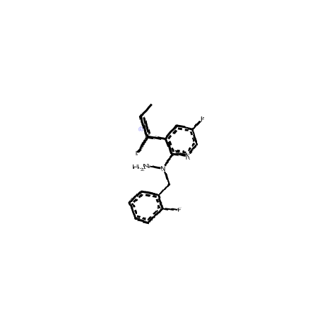 C/C=C(/I)c1cc(F)cnc1N(N)Cc1ccccc1F